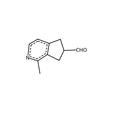 Cc1nccc2c1CC(C=O)C2